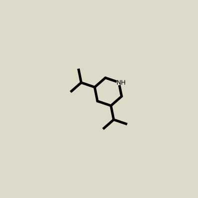 CC(C)C1CNCC(C(C)C)C1